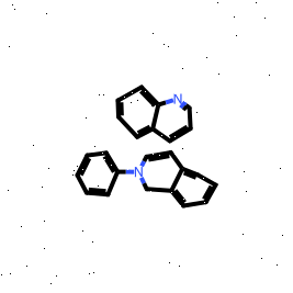 C1=CN(c2ccccc2)Cc2ccccc21.c1ccc2ncccc2c1